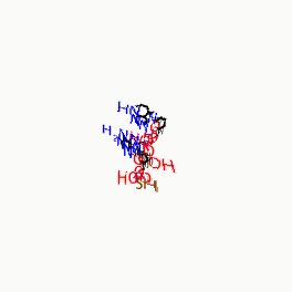 C[PH](O)(COC[C@@H]1CCC[C@H](n2cc3c4c(ncnc42)NCCC3)O1)O[C@@H]1[C@H](O)[C@@H](COP(=O)(O)S)O[C@H]1n1cnc2c(N)ncnc21